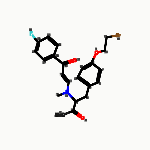 COC(=O)C(Cc1ccc(OCCBr)cc1)N(C)C=CC(=O)c1ccc(F)cc1